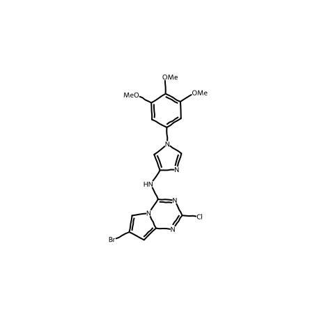 COc1cc(-n2cnc(Nc3nc(Cl)nc4cc(Br)cn34)c2)cc(OC)c1OC